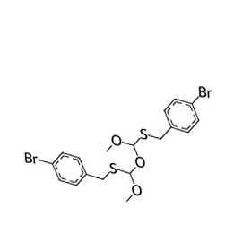 COC(OC(OC)SCc1ccc(Br)cc1)SCc1ccc(Br)cc1